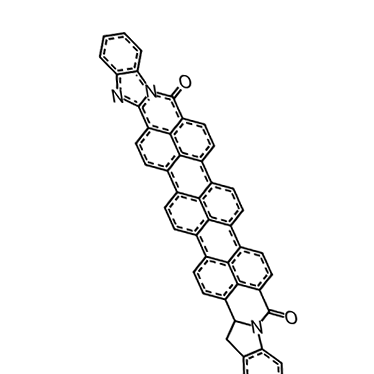 O=C1c2ccc3c4ccc5c6ccc7c(=O)n8c9ccccc9nc8c8ccc(c9ccc(c%10ccc(c2c3%10)C2Cc3ccccc3N12)c4c59)c6c78